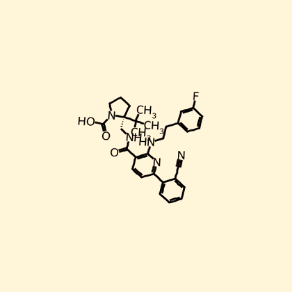 CC(C)(C)[C@]1(CNC(=O)c2ccc(-c3ccccc3C#N)nc2NCCc2cccc(F)c2)CCCN1C(=O)O